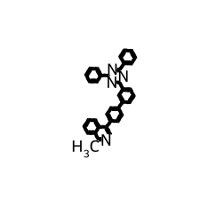 Cc1ncc(-c2ccc(-c3cccc(-c4nc(-c5ccccc5)nc(-c5ccccc5)n4)c3)cc2)c2ccccc12